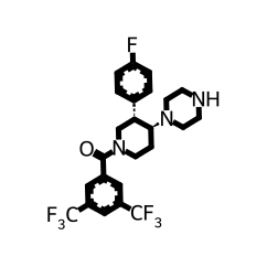 O=C(c1cc(C(F)(F)F)cc(C(F)(F)F)c1)N1CC[C@@H](N2CCNCC2)[C@@H](c2ccc(F)cc2)C1